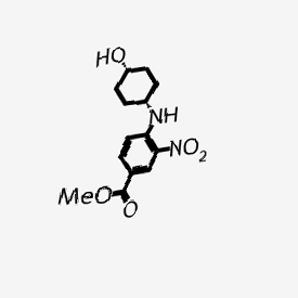 COC(=O)c1ccc(N[C@H]2CC[C@@H](O)CC2)c([N+](=O)[O-])c1